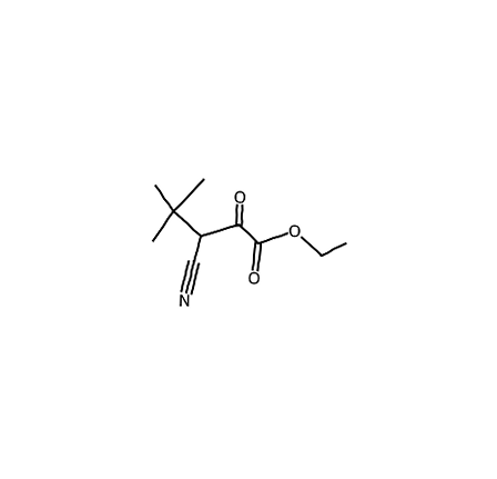 CCOC(=O)C(=O)C(C#N)C(C)(C)C